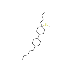 CCCCCC1CCC(C2CCC(CCCC)(SC)CC2)CC1